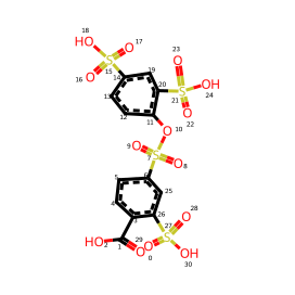 O=C(O)c1ccc(S(=O)(=O)Oc2ccc(S(=O)(=O)O)cc2S(=O)(=O)O)cc1S(=O)(=O)O